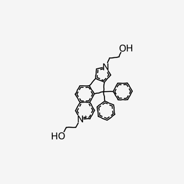 OCCn1cc2c(c1)C(c1ccccc1)(c1ccccc1)c1c-2ccc2c[n+](CCO)ccc12